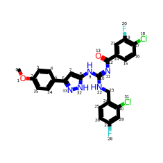 COc1ccc(-c2cc(N/C(=N\C(=O)c3ccc(Cl)c(F)c3)NCc3ccc(F)cc3Cl)[nH]n2)cc1